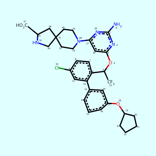 Nc1nc(OC(c2ccc(Cl)cc2-c2cccc(OC3CCCC3)c2)C(F)(F)F)cc(N2CCC3(CC2)CNC(C(=O)O)C3)n1